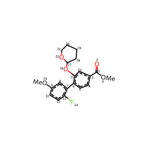 COC(=O)c1ccc(-c2cc(OC)ccc2F)c(OC2CCCCO2)c1